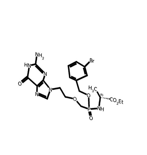 CCOC(=O)[C@@H](C)NP(=O)(COCCn1cnc2c(=O)[nH]c(N)nc21)OCc1cccc(Br)c1